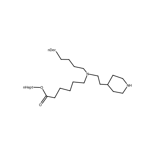 CCCCCCCCCCCCCCN(CCCCCC(=O)OCCCCCCC)CCC1CCNCC1